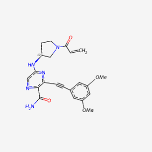 C=CC(=O)N1CC[C@H](Nc2cnc(C(N)=O)c(C#Cc3cc(OC)cc(OC)c3)n2)C1